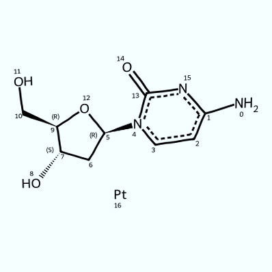 Nc1ccn([C@H]2C[C@H](O)[C@@H](CO)O2)c(=O)n1.[Pt]